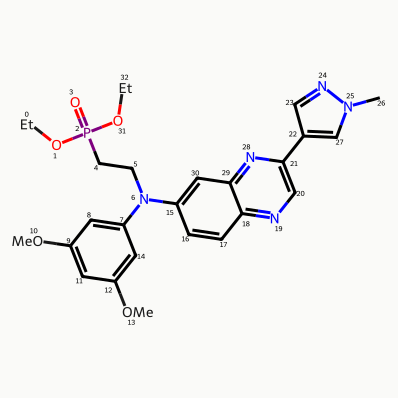 CCOP(=O)(CCN(c1cc(OC)cc(OC)c1)c1ccc2ncc(-c3cnn(C)c3)nc2c1)OCC